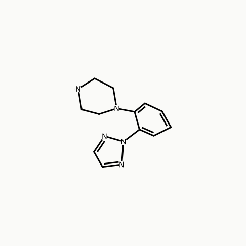 c1ccc(-n2nccn2)c(N2CC[N]CC2)c1